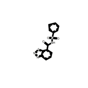 O=C(NS(=O)(=O)c1ccccc1)c1cccc2nnsc12